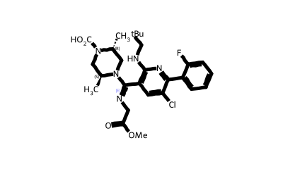 COC(=O)C/N=C(\c1cc(Cl)c(-c2ccccc2F)nc1NCC(C)(C)C)N1C[C@@H](C)N(C(=O)O)C[C@@H]1C